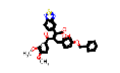 COc1ccc(C(=O)C(Cc2ccc(OCc3ccccc3)cc2)=C(C(=O)O)c2ccc3nsnc3c2)cc1OC